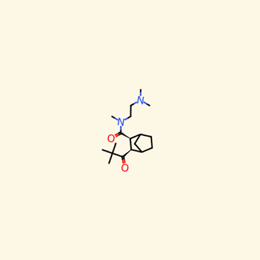 CN(C)CCN(C)C(=O)[C@H]1C2CCC(C2)[C@H]1C(=O)C(C)(C)C